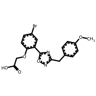 COc1ccc(Cc2noc(-c3cc(Br)ccc3OCC(=O)O)n2)cc1